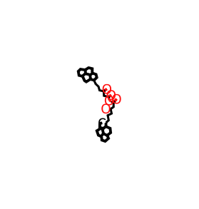 O=C(CCCc1ccc2ccc3cccc4ccc1c2c34)CC(=O)OC(=O)CC(=O)CCCc1ccc2ccc3cccc4ccc1c2c34